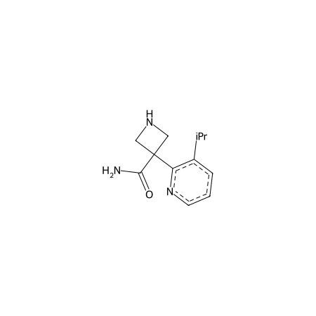 CC(C)c1cccnc1C1(C(N)=O)CNC1